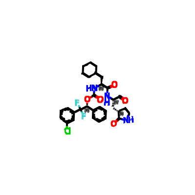 O=C[C@H](C[C@@H]1CCNC1=O)NC(=O)[C@H](CC1CCCCC1)NC(=O)O[C@H](c1ccccc1)C(F)(F)c1cccc(Cl)c1